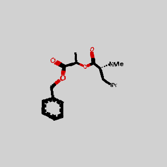 CN[C@H](CC(C)C)C(=O)OC(C)C(=O)OCc1ccccc1